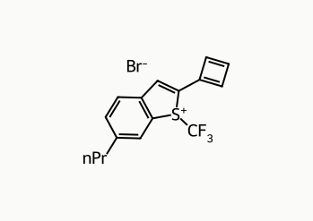 CCCc1ccc2cc(C3=CC=C3)[s+](C(F)(F)F)c2c1.[Br-]